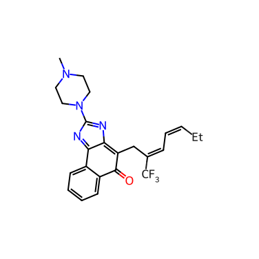 CC/C=C\C=C(/CC1=C2N=C(N3CCN(C)CC3)N=C2c2ccccc2C1=O)C(F)(F)F